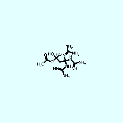 CC(=O)OC(O)(O)CC(N=C(N)N)(NC(=N)N)NC(=N)N